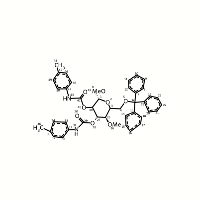 CO[C@@H]1OC(COC(c2ccccc2)(c2ccccc2)c2ccccc2)[C@@H](OC)[C@H](OC(=O)Nc2ccc(C)cc2)C1OC(=O)Nc1ccc(C)cc1